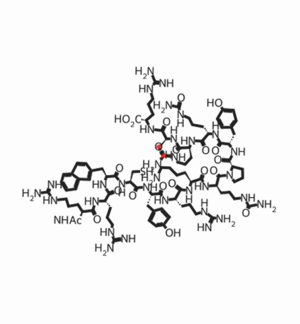 CC(=O)N[C@@H](CCCNC(=N)N)C(=O)N[C@@H](CCCNC(=N)N)C(=O)N[C@@H](Cc1ccc2ccccc2c1)C(=O)N[C@@H](CS)C(=O)N[C@@H](Cc1ccc(O)cc1)C(=O)N[C@@H](CCCNC(=N)N)C(=O)N[C@@H](CCCCN)C(=O)N[C@H](CCCNC(N)=O)C(=O)N1CCC[C@H]1C(=O)N[C@@H](Cc1ccc(O)cc1)C(=O)N[C@@H](CCCNC(N)=O)C(=O)N[C@@H](CCCNC(N)=O)C(=O)N[C@@H](CS)C(=O)N[C@@H](CCCNC(=N)N)C(=O)O